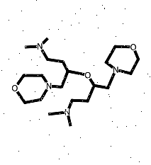 CN(C)CCC(CN1CCOCC1)OC(CCN(C)C)CN1CCOCC1